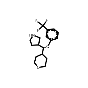 FC(F)(F)c1cccc(O[C@H](C2CCOCC2)C2CCNC2)c1